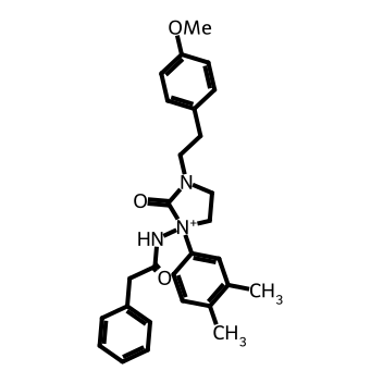 COc1ccc(CCN2CC[N+](NC(=O)Cc3ccccc3)(c3ccc(C)c(C)c3)C2=O)cc1